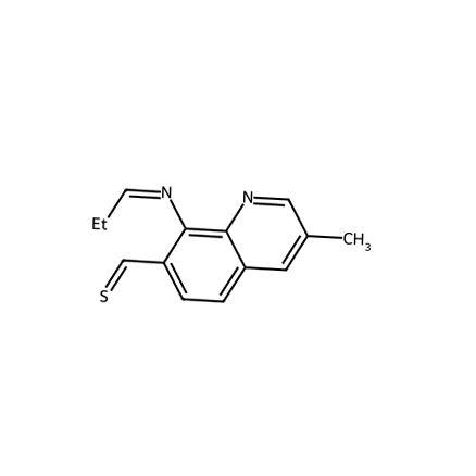 CC/C=N\c1c(C=S)ccc2cc(C)cnc12